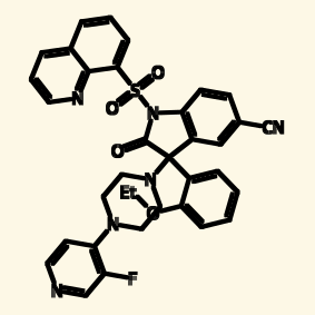 CCOc1ccccc1C1(N2CCN(c3ccncc3F)CC2)C(=O)N(S(=O)(=O)c2cccc3cccnc23)c2ccc(C#N)cc21